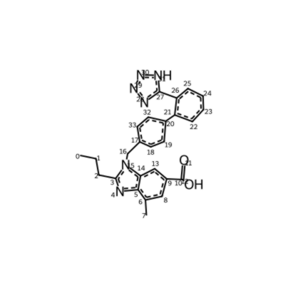 CCCc1nc2c(C)cc(C(=O)O)cc2n1Cc1ccc(-c2ccccc2-c2nnn[nH]2)cc1